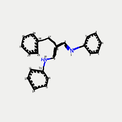 C(=Nc1ccccc1)C(=CNc1ccccc1)Cc1ccccc1